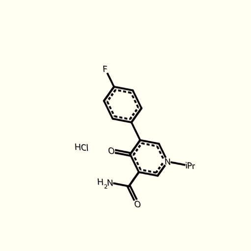 CC(C)n1cc(C(N)=O)c(=O)c(-c2ccc(F)cc2)c1.Cl